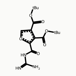 CC(C)(C)OC(=O)c1coc(C(=O)NC(=N)N)c1C(=O)OC(C)(C)C